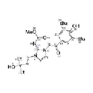 CCC(O)(CC)CCn1ccn(CC(=O)c2cc(C(C)(C)C)c(O)c(C(C)(C)C)c2)/c1=N\C(=O)OC